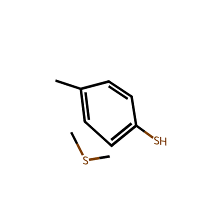 CSC.Cc1ccc(S)cc1